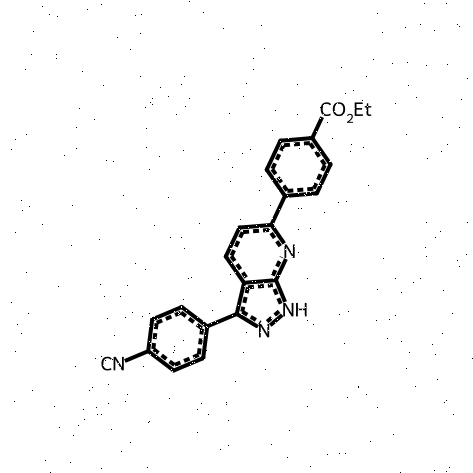 [C-]#[N+]c1ccc(-c2n[nH]c3nc(-c4ccc(C(=O)OCC)cc4)ccc23)cc1